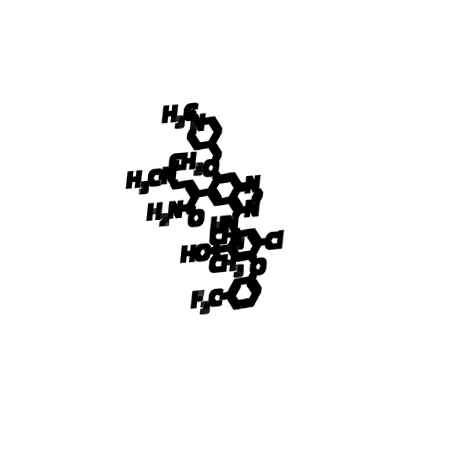 CN(C)CC=C(C(N)=O)c1cc2c(Nc3cc(Cl)c(Oc4cccc(C(F)(F)F)c4)cc3C(C)(C)O)ncnc2cc1OCC1CCN(C)CC1